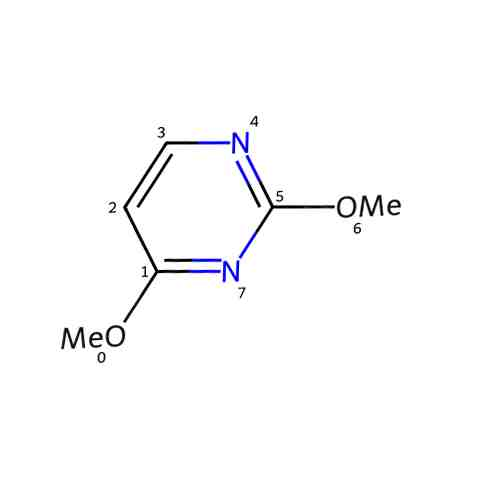 COc1ccnc(OC)n1